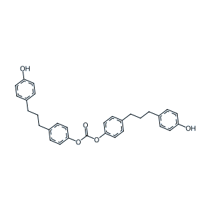 O=C(Oc1ccc(CCCc2ccc(O)cc2)cc1)Oc1ccc(CCCc2ccc(O)cc2)cc1